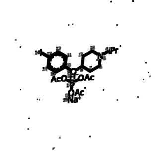 CC(=O)O[BH-](OC(C)=O)OC(C)=O.CC(C)N1CCC(Oc2ccc(I)cc2)CC1.[Na+]